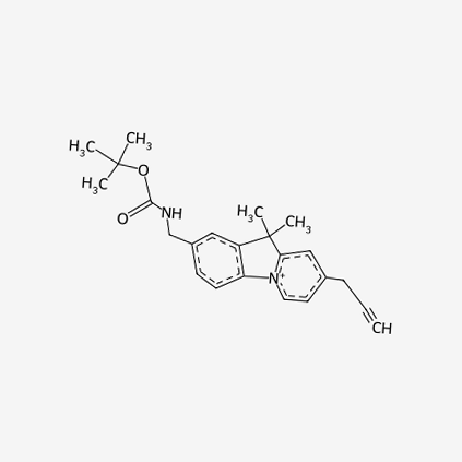 C#CCc1cc[n+]2c(c1)C(C)(C)c1cc(CNC(=O)OC(C)(C)C)ccc1-2